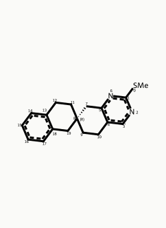 CSc1n[c]c2c(n1)C[C@@]1(CC2)CCc2ccccc2C1